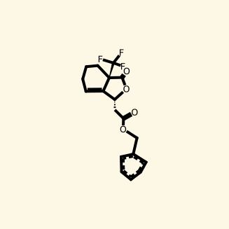 O=C(C[C@H]1OC(=O)[C@@]2(C(F)(F)F)CCCC=C12)OCc1ccccc1